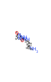 Cc1cc(=O)nc(NC(=O)NCCC(C)CC(C)(C)CN)[nH]1